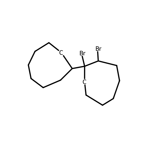 BrC1CCCCCCC1(Br)C1CCCCCCC1